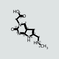 CNCc1cc2cn(CC(=O)O)c(=O)nc2[nH]1